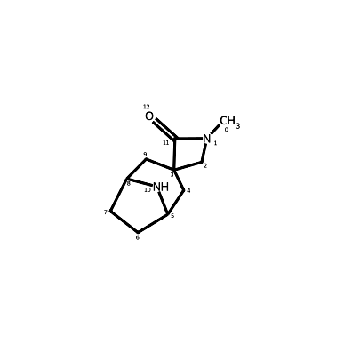 CN1CC2(CC3CCC(C2)N3)C1=O